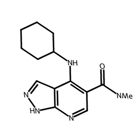 CNC(=O)c1cnc2[nH]ncc2c1NC1CCCCC1